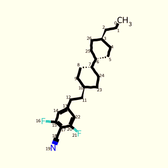 CCC[C@H]1CC[C@H]([C@H]2CC[C@H](CCc3cc(F)c(C#N)c(F)c3)CC2)CC1